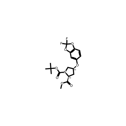 COC(=O)[C@@H]1C[C@H](Oc2ccc3c(c2)OC(F)(F)O3)CN1C(=O)OC(C)(C)C